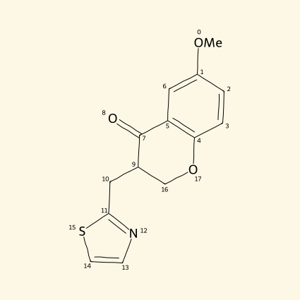 COc1ccc2c(c1)C(=O)C(Cc1nccs1)CO2